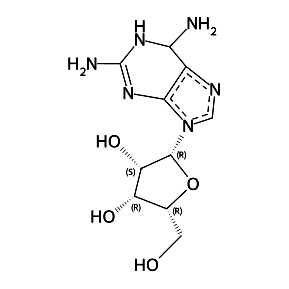 NC1=Nc2c(ncn2[C@@H]2O[C@H](CO)[C@H](O)[C@@H]2O)C(N)N1